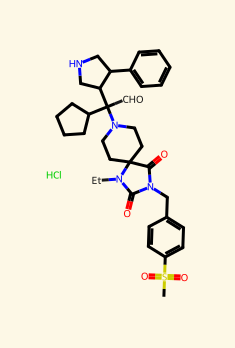 CCN1C(=O)N(Cc2ccc(S(C)(=O)=O)cc2)C(=O)C12CCN(C(C=O)(C1CCCC1)C1CNCC1c1ccccc1)CC2.Cl